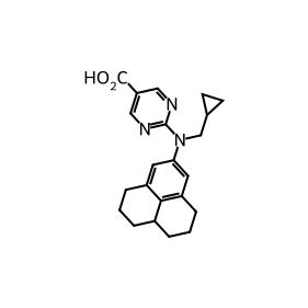 O=C(O)c1cnc(N(CC2CC2)c2cc3c4c(c2)CCCC4CCC3)nc1